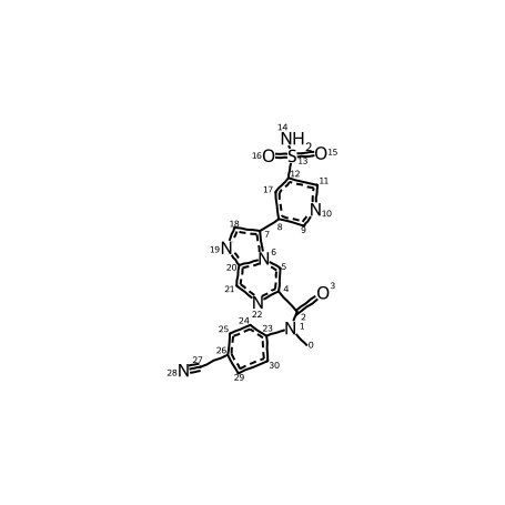 CN(C(=O)c1cn2c(-c3cncc(S(N)(=O)=O)c3)cnc2cn1)c1ccc(C#N)cc1